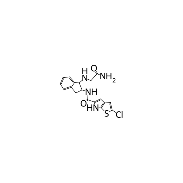 NC(=O)CNC1c2ccccc2CC1NC(=O)c1cc2cc(Cl)sc2[nH]1